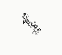 Bc1ccc(S(=O)(=O)Nc2ccc(-n3c(C)cc4c3CC(C)(C)CC4=O)cc2)cc1